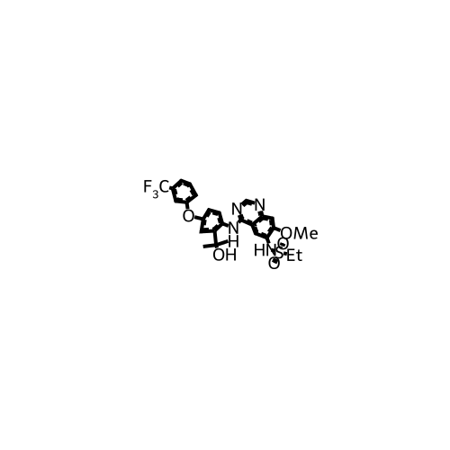 CCS(=O)(=O)Nc1cc2c(Nc3ccc(Oc4cccc(C(F)(F)F)c4)cc3C(C)(C)O)ncnc2cc1OC